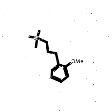 COc1ccccc1CCC[Si](C)(C)C